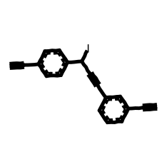 C#Cc1ccc(C(I)C#Cc2cccc(C#C)c2)cc1